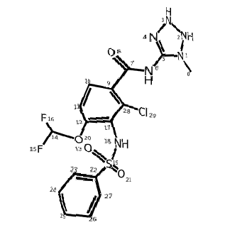 CN1NNN=C1NC(=O)c1ccc(OC(F)F)c(NS(=O)(=O)c2ccccc2)c1Cl